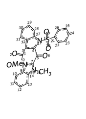 COC(=O)c1c(C(=O)c2nc3ccccc3n2C)n(S(=O)(=O)c2ccccc2)c2ccccc12